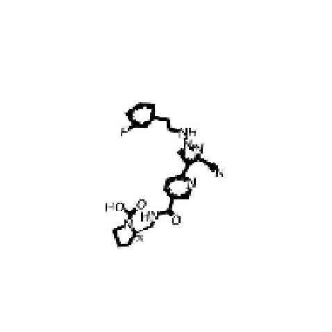 N#Cc1nn(NCCc2cccc(F)c2)cc1-c1ccc(C(=O)NC[C@H]2CCCN2C(=O)O)cn1